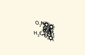 C=CCOC(c1ccccc1)C(OCC)n1ccn(Cc2ccccc2[N+](=O)[O-])[c+]1OS(=O)(=O)c1ccccc1